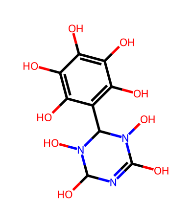 OC1=NC(O)N(O)C(c2c(O)c(O)c(O)c(O)c2O)N1O